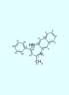 CC1=Nc2cc3ccccc3cc2NC(c2ccccc2)=C1